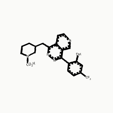 O=C(O)N1CCCC(Cc2nnc(-c3ccc(C(F)(F)F)cc3O)c3cnccc23)C1